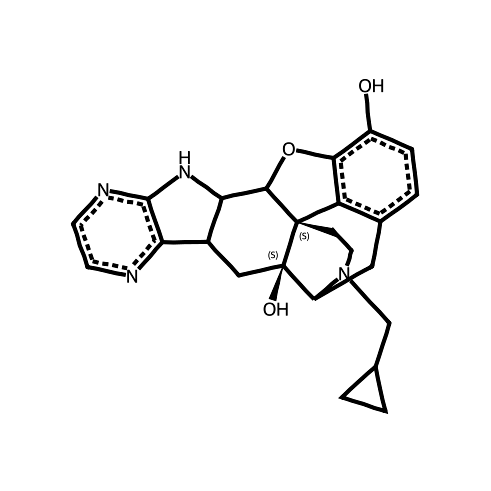 Oc1ccc2c3c1OC1C4Nc5nccnc5C4C[C@@]4(O)C(C2)N(CC2CC2)CC[C@]314